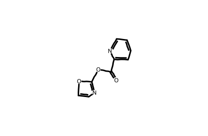 O=C(Oc1ncco1)c1ccccn1